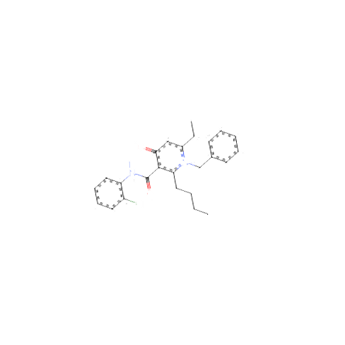 CCCCc1c(C(=O)Nc2ccccc2Cl)c(=O)cc(CC)n1Cc1ccccc1